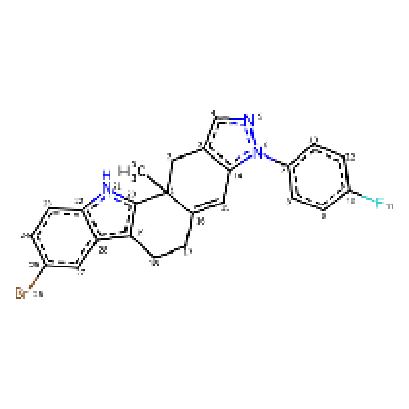 CC12Cc3cnn(-c4ccc(F)cc4)c3C=C1CCc1c2[nH]c2ccc(Br)cc12